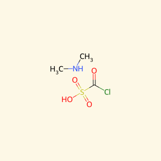 CNC.O=C(Cl)S(=O)(=O)O